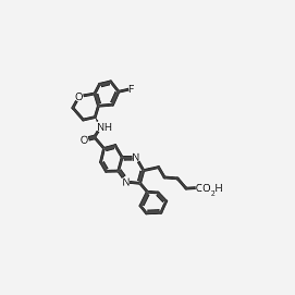 O=C(O)CCCCc1nc2cc(C(=O)N[C@@H]3CCOc4ccc(F)cc43)ccc2nc1-c1ccccc1